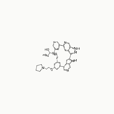 CCCCC(O)Nc1cncc(-c2cc3c(-c4cc5c(-c6cc(F)cc(OCCN7CCCC7)c6)cncc5[nH]4)n[nH]c3cn2)c1